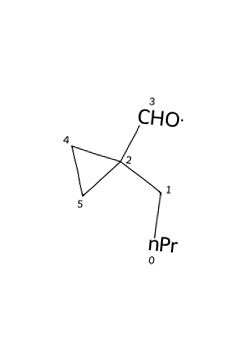 CCCCC1([C]=O)CC1